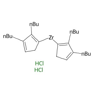 CCCCC1=CC[C]([Zr][C]2=C(CCCC)C(CCCC)=CC2)=C1CCCC.Cl.Cl